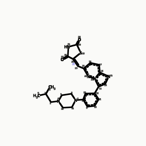 CC(C)CN1CCN(c2cccc(-c3cnc4ccc(/C=C5\SC(=O)NC5=O)nn34)c2)CC1